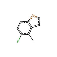 Cc1c(F)ccc2sccc12